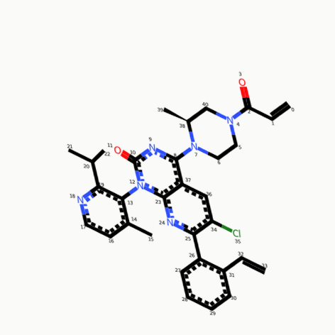 C=CC(=O)N1CCN(c2nc(=O)n(-c3c(C)ccnc3C(C)C)c3nc(-c4ccccc4C=C)c(Cl)cc23)[C@@H](C)C1